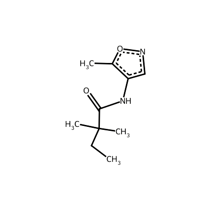 CCC(C)(C)C(=O)Nc1cnoc1C